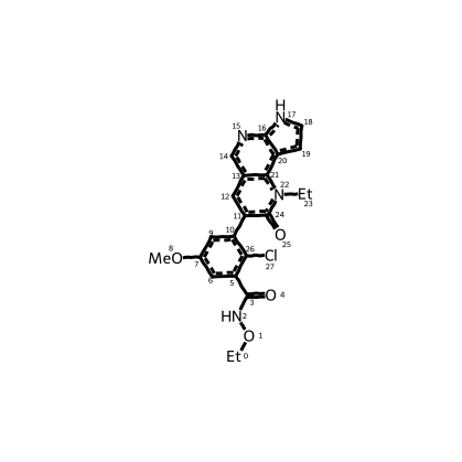 CCONC(=O)c1cc(OC)cc(-c2cc3cnc4[nH]ccc4c3n(CC)c2=O)c1Cl